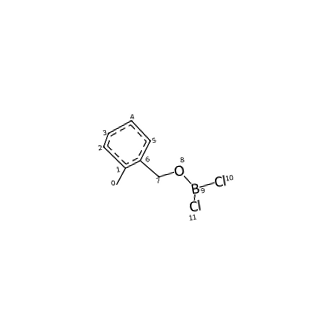 Cc1ccccc1COB(Cl)Cl